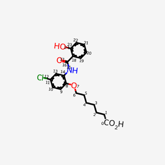 O=C(O)CCCCCCOc1ccc(Cl)cc1NC(=O)c1ccccc1O